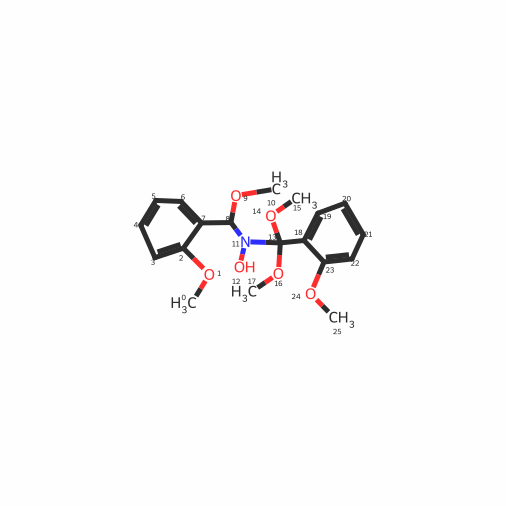 COc1ccccc1C(OC)N(O)C(OC)(OC)c1ccccc1OC